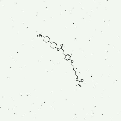 C=C(C)C(=O)OCCCCCCOc1ccc(CCC(=O)OC2CCC(C3CCC(CCC)CC3)CC2)cc1